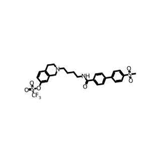 CS(=O)(=O)c1ccc(-c2ccc(C(=O)NCCCCN3CCc4ccc(OS(=O)(=O)C(F)(F)F)cc4C3)cc2)cc1